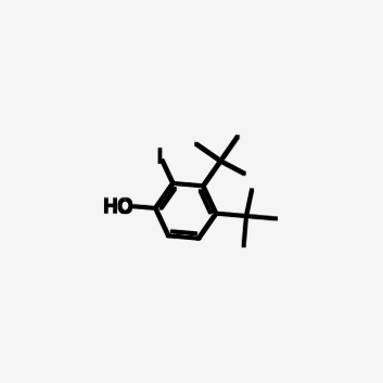 CC(C)(C)c1ccc(O)c(I)c1C(C)(C)C